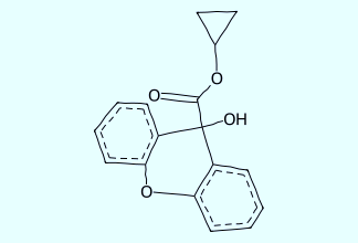 O=C(OC1CC1)C1(O)c2ccccc2Oc2ccccc21